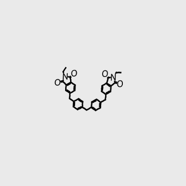 CCN1C(=O)c2ccc(Cc3ccc(Cc4ccc(Cc5ccc6c(c5)C(=O)N(CC)C6=O)cc4)cc3)cc2C1=O